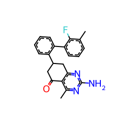 Cc1cccc(-c2ccccc2C2CC(=O)c3c(C)nc(N)nc3C2)c1F